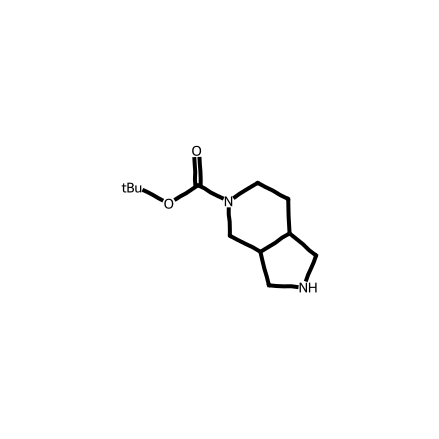 CC(C)(C)OC(=O)N1CCC2CNCC2C1